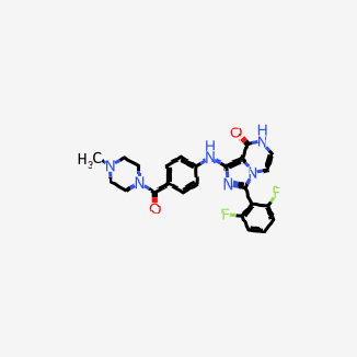 CN1CCN(C(=O)c2ccc(Nc3nc(-c4c(F)cccc4F)n4cc[nH]c(=O)c34)cc2)CC1